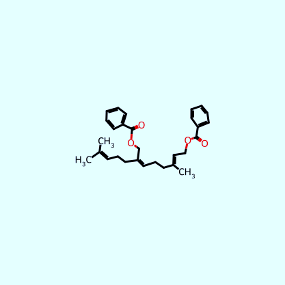 CC(C)=CCC/C(=C/CC/C(C)=C/COC(=O)c1ccccc1)COC(=O)c1ccccc1